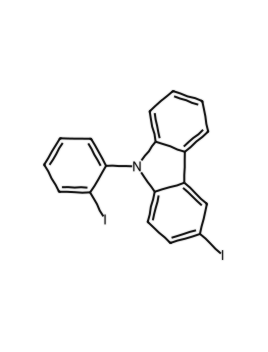 Ic1ccc2c(c1)c1ccccc1n2-c1ccccc1I